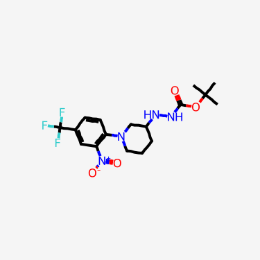 CC(C)(C)OC(=O)NNC1CCCN(c2ccc(C(F)(F)F)cc2[N+](=O)[O-])C1